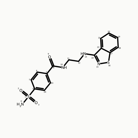 NS(=O)(=O)c1ccc(C(=O)NCCNc2nsc3ccccc23)cc1